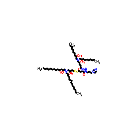 CCCCCCCCCCCCC(O)CN(CCCCSSCCC(NC(=O)CCCCN(CC(O)CCCCCCCC)CC(O)CCCCCCCC)C(=O)NCCCn1ccnc1)CC(O)CCCCCCCCCCCC